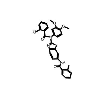 COc1ccc(N(C(=O)c2ccccc2Cl)c2nc3ccc(NC(=O)c4ccccc4C)cc3s2)cc1OC